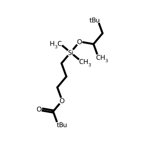 CC(CC(C)(C)C)O[Si](C)(C)CCCOC(=O)C(C)(C)C